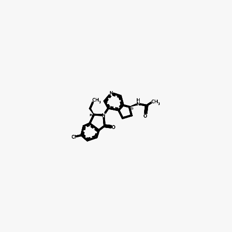 CC[C@@H]1c2cc(Cl)ccc2C(=O)N1c1cncc2c1CC[C@@H]2NC(C)=O